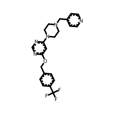 FC(F)(F)c1ccc(COc2cc(N3CCN(Cc4ccncc4)CC3)ncn2)cc1